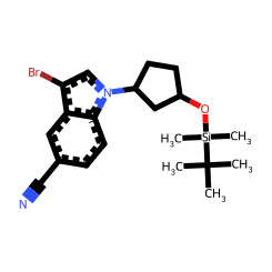 CC(C)(C)[Si](C)(C)OC1CCC(n2cc(Br)c3cc(C#N)ccc32)C1